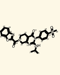 CC(C)Nc1nc2c(c(=O)n1-c1ccc(S(C)(=O)=O)cc1)CCN(C(=O)c1nc3ccccc3o1)C2